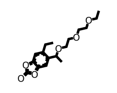 CCOCCOCCOC(C)c1cc2oc(=O)oc2cc1CC